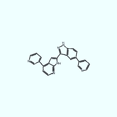 c1cncc(-c2ccc3[nH]nc(-c4cc5c(-c6cccnc6)ccnc5[nH]4)c3c2)c1